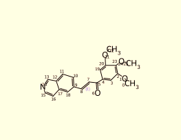 COc1cc(C(=O)/C=C/c2ccc3cnccc3c2)cc(OC)c1OC